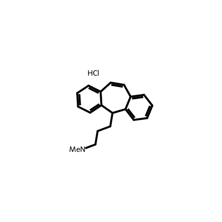 CNCCCC1c2ccccc2C=Cc2ccccc21.Cl